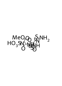 COC(=O)C1C(NC(=O)C(NS(C)(=O)=O)c2csc(N)n2)C(=O)N1S(=O)(=O)O